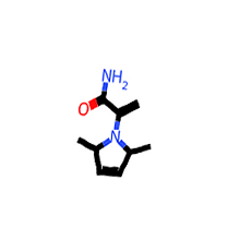 C=C(C(N)=O)N1C(C)C=CC1C